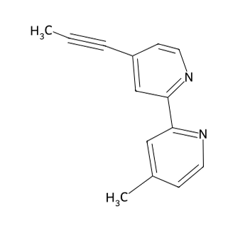 CC#Cc1ccnc(-c2cc(C)ccn2)c1